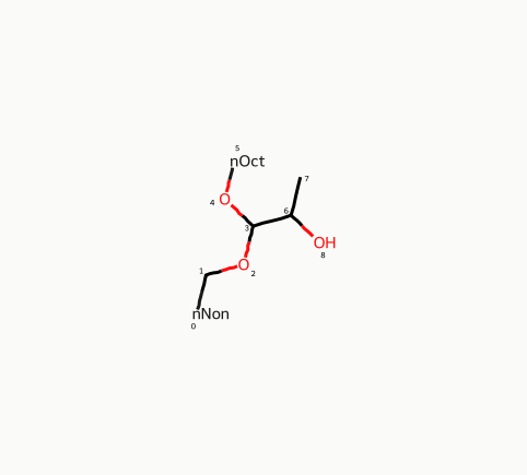 CCCCCCCCCCOC(OCCCCCCCC)C(C)O